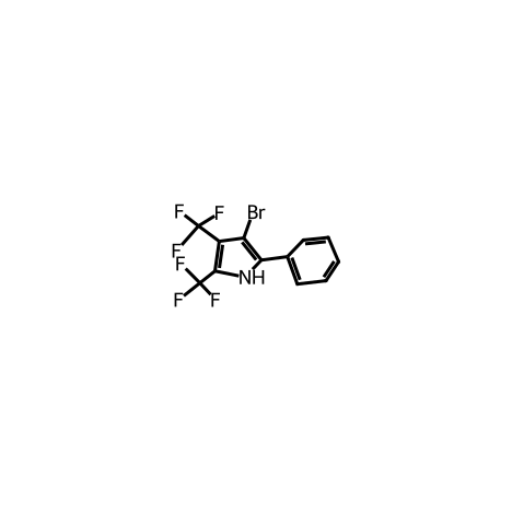 FC(F)(F)c1[nH]c(-c2ccccc2)c(Br)c1C(F)(F)F